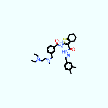 CCN(CC)CCN(C)Cc1cccc(C(=O)Nc2sc3c(c2C(=O)NN=Cc2ccc(C)c(C)c2)CCCC3)c1